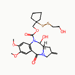 C=C1C[C@H]2C(O)N(C(=O)OCC3(SSCCO)CCCC3)c3cc(OC)c(OC)cc3C(=O)N2C1